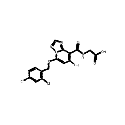 O=C(O)CNC(=O)c1c(O)cc(SCc2ccc(Cl)cc2Cl)n2ncnc12